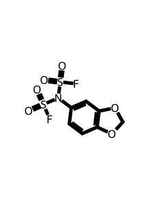 O=S(=O)(F)N(c1ccc2c(c1)OCO2)S(=O)(=O)F